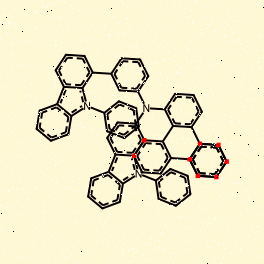 c1ccc(-c2ccccc2-c2c(-c3ccccc3)cccc2N(c2cccc(-c3cccc4c5ccccc5n(-c5ccccc5)c34)c2)c2ccc3c4ccccc4n(-c4ccccc4)c3c2)cc1